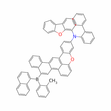 Cc1ccccc1B(c1cccc2ccccc12)c1cc2c3cccc4c3c(cc2c2ccccc12)-c1ccc(N(c2ccccc2-c2ccccc2)c2cccc3c2oc2ccccc23)cc1O4